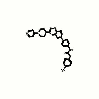 O=C(Cc1ccc(C(F)(F)F)cc1)Nc1ccc(-c2ccc3ncc(N4CCN(c5ccncc5)CC4)nc3c2)cc1